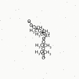 CCC(COc1ccc(C(C)(C)c2ccc(C(C)(C)OCC3CO3)cc2)cc1)COC(C)(C)c1ccc(C(C)(C)c2ccc(OCC3CO3)cc2)cc1